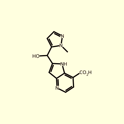 Cn1nccc1C(O)c1cc2nccc(C(=O)O)c2[nH]1